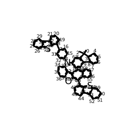 CC1(C)c2ccccc2-c2ccc(N(c3ccc(-c4cccc5c4sc4ccccc45)cc3)c3cccc4oc5c(-c6cccc7c6sc6ccccc67)c6ccccc6cc5c34)cc21